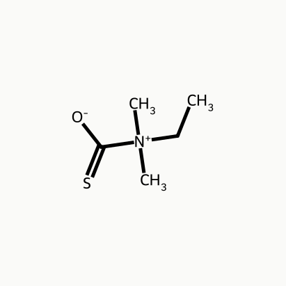 CC[N+](C)(C)C([O-])=S